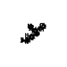 c1cc(-c2cc(NCC3CCCCO3)c3ncc(-c4ccc(-c5cnc(C6CC6)[nH]5)cc4)n3n2)ccn1